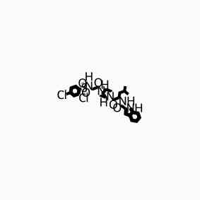 CC(C)CC(NC(=O)c1cc2ccccc2[nH]1)C(=O)N1C[C@@H]2C[C@H]1CN2C(=O)CNS(=O)(=O)c1ccc(Cl)cc1Cl